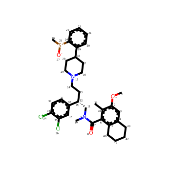 COc1cc2c(c(C(=O)N(C)C[C@@H](CCN3CCC(c4ccccc4[S+](C)[O-])CC3)c3ccc(Cl)c(Cl)c3)c1C)CCCC2